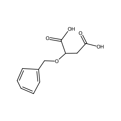 O=C(O)CC(OCc1ccccc1)C(=O)O